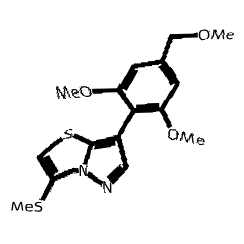 COCc1cc(OC)c(-c2cnn3c(SC)csc23)c(OC)c1